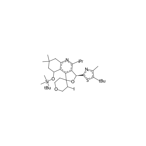 Cc1nc([C@H]2OC3(CCOCC3I)c3c4c(nc(C(C)C)c32)CC(C)(C)CC4O[Si](C)(C)C(C)(C)C)sc1C(C)(C)C